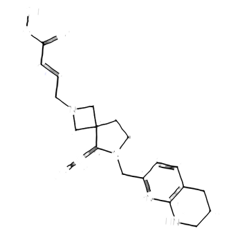 COC(=O)/C=C/CN1CC2(CCN(Cc3ccc4c(n3)NCCC4)C2=C=O)C1